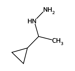 CC(NN)C1CC1